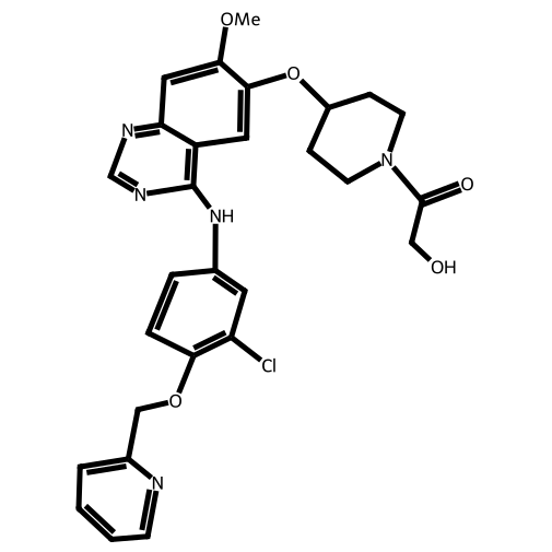 COc1cc2ncnc(Nc3ccc(OCc4ccccn4)c(Cl)c3)c2cc1OC1CCN(C(=O)CO)CC1